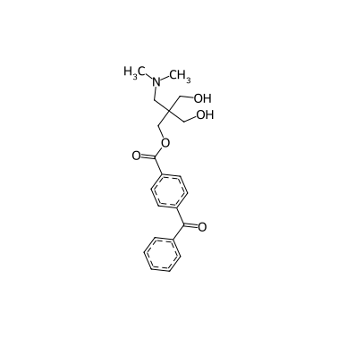 CN(C)CC(CO)(CO)COC(=O)c1ccc(C(=O)c2ccccc2)cc1